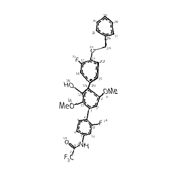 COc1cc(-c2ccc(NC(=O)C(F)(F)F)cc2F)c(OC)c(O)c1-c1ccc(OCc2ccccc2)c(F)c1